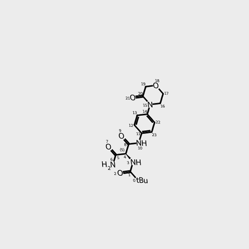 CC(C)(C)C(=O)N[C@@H](C(N)=O)C(=O)Nc1ccc(N2CCOCC2=O)cc1